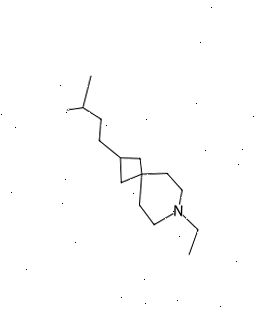 CCN1CCC2(CC1)CC(CCC(C)C)C2